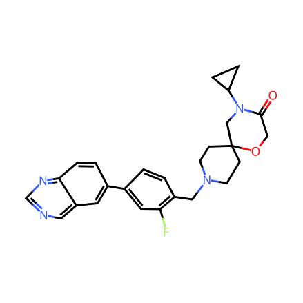 O=C1COC2(CCN(Cc3ccc(-c4ccc5ncncc5c4)cc3F)CC2)CN1C1CC1